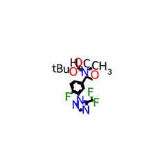 CC(C)(C)OC(=O)N1C(c2ccc(F)c(-n3ncnc3C(F)F)c2)COC1(C)C